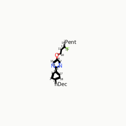 CCCCCCCCCCc1ccc(-c2ncc(OCCC(F)C(C)CCC)cn2)cc1